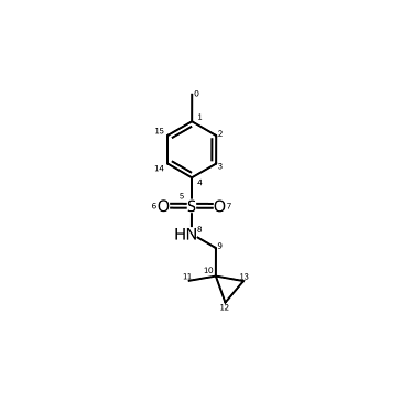 Cc1ccc(S(=O)(=O)NCC2(C)CC2)cc1